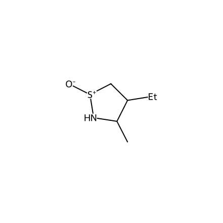 CCC1C[S+]([O-])NC1C